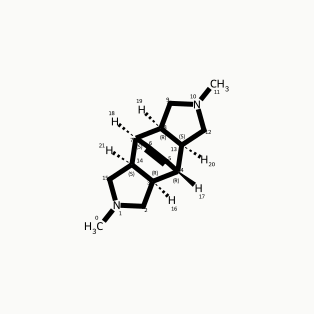 CN1C[C@@H]2[C@@H]3C=C[C@H]([C@H]4CN(C)C[C@@H]34)[C@@H]2C1